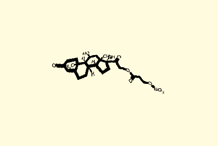 C[C@]12C=CC(=O)C=C1CC[C@@H]1[C@@H]2[C@@H](O)C[C@@]2(C)[C@H]1CC[C@]2(O)C(=O)COC(=O)CCO[N+](=O)[O-]